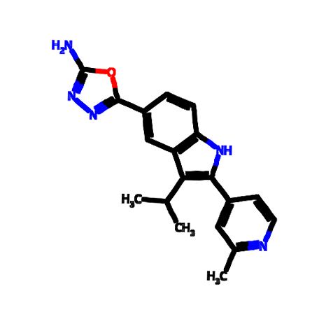 Cc1cc(-c2[nH]c3ccc(-c4nnc(N)o4)cc3c2C(C)C)ccn1